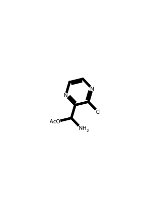 CC(=O)OC(N)c1nccnc1Cl